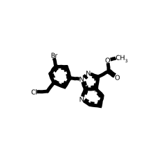 COC(=O)c1nn(-c2cc(Br)cc(CCl)c2)c2ncccc12